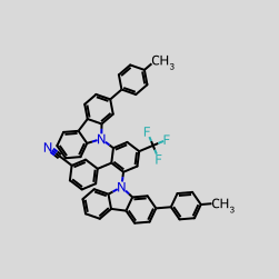 Cc1ccc(-c2ccc3c4ccccc4n(-c4cc(C(F)(F)F)cc(-n5c6ccccc6c6ccc(-c7ccc(C)cc7)cc65)c4-c4cccc(C#N)c4)c3c2)cc1